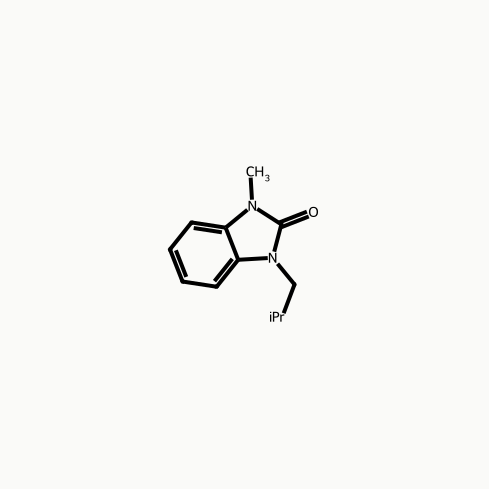 CC(C)Cn1c(=O)n(C)c2ccccc21